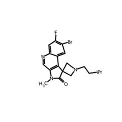 CC(C)CCN1CC2(C1)C(=O)N(C)c1cnc3cc(F)c(Br)cc3c12